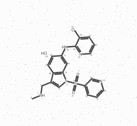 CNCc1cn(S(=O)(=O)c2cccnc2)c2cc(Nc3ncccc3Cl)ccc12.Cl